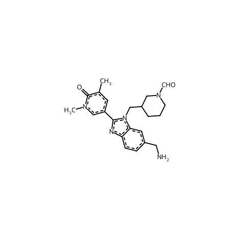 Cc1cc(-c2nc3ccc(CN)cc3n2CC2CCCN(C=O)C2)cn(C)c1=O